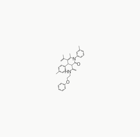 C=C(C)C1=C(C)N(c2cccc(C)c2)C(=O)C(C(=C)NCCOc2ccccc2)C1c1ccc(C)cc1